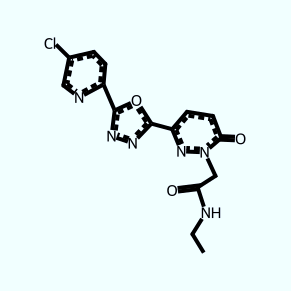 CCNC(=O)Cn1nc(-c2nnc(-c3ccc(Cl)cn3)o2)ccc1=O